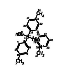 CCCC[B-](CCCC)(c1ccc(C)cc1)c1ccc(C)cc1.C[n+]1ccccc1